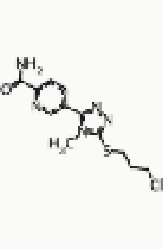 Cn1c(SCCCCl)nnc1-c1ccc(C(N)=O)nc1